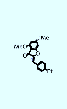 CCc1ccc(/C=C2\Oc3cc(OC)cc(OC)c3C2=O)cc1